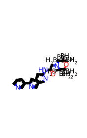 BC1(B)OC(B)(B)C(B)(B)N(CC(=O)Nc2cc3cc(-c4cccnc4)ncc3cn2)C1(B)B